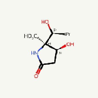 CC(C)[C@H](O)[C@]1(C(=O)O)NC(=O)C[C@@H]1O